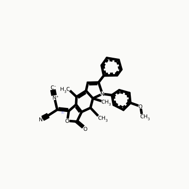 [C-]#[N+]/C(C#N)=C1/OC(=O)C2=C1C(C)=C1C=C(c3ccccc3)N(c3ccc(OC)cc3)C1(C)C2C